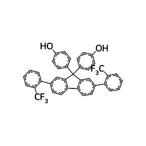 Oc1ccc(C2(c3ccc(O)cc3)c3cc(-c4ccccc4C(F)(F)F)ccc3-c3ccc(-c4ccccc4C(F)(F)F)cc32)cc1